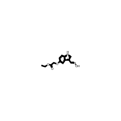 CCOC(=O)COc1ccc2[nH]cc(C=NO)c2c1